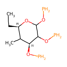 CC[C@H]1OC(OP)C(OP)[C@@H](OP)C1C